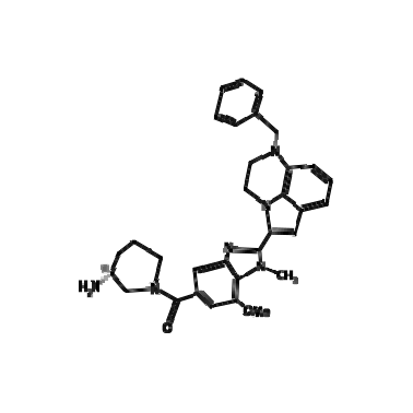 COc1cc(C(=O)N2CCC[C@@H](N)C2)cc2nc(-c3cc4cccc5c4n3CCN5Cc3ccccc3)n(C)c12